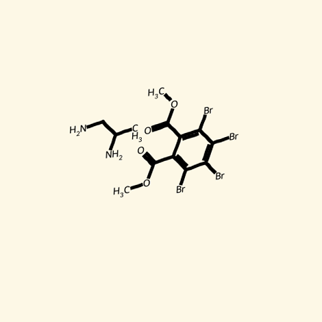 CC(N)CN.COC(=O)c1c(Br)c(Br)c(Br)c(Br)c1C(=O)OC